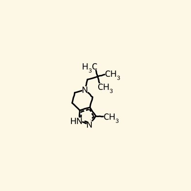 Cc1n[nH]c2c1CN(CC(C)(C)C)CC2